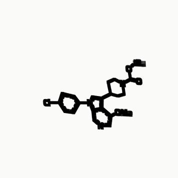 COc1cncc2c1c(C1CCN(C(=O)OC(C)(C)C)CC1)cn2-c1ccc(Cl)cc1